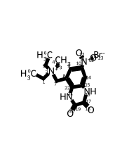 CC[N+](CC)(CC)Cc1cc([N+](=O)[O-])cc2[nH]c(=O)c(=O)[nH]c12.[Br-]